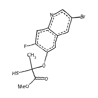 COC(=O)C(C)(S)Oc1cc2cc(Br)cnc2cc1F